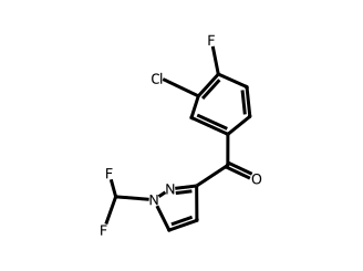 O=C(c1ccc(F)c(Cl)c1)c1ccn(C(F)F)n1